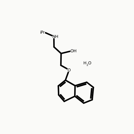 CC(C)NCC(O)COc1cccc2ccccc12.O